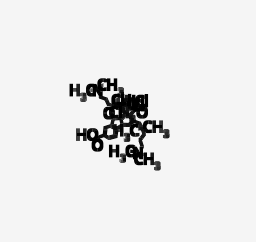 CN(C)CCCC(C)(C)Cc1cc2c(c(CC(C)(C)CCCN(C)C)c1C(=O)O)C(=O)c1cc(C(=O)O)ccc1-2.Cl.Cl